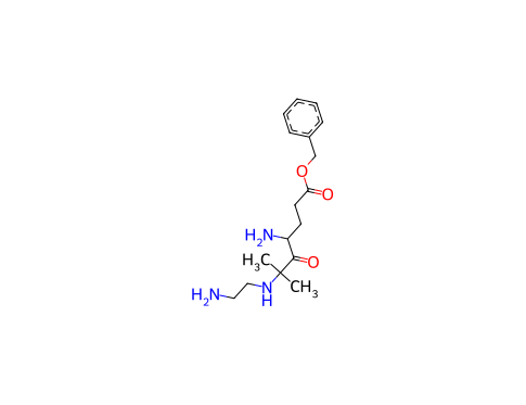 CC(C)(NCCN)C(=O)C(N)CCC(=O)OCc1ccccc1